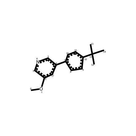 COc1cncc(-c2ccc(C(C)(C)C)cc2)c1